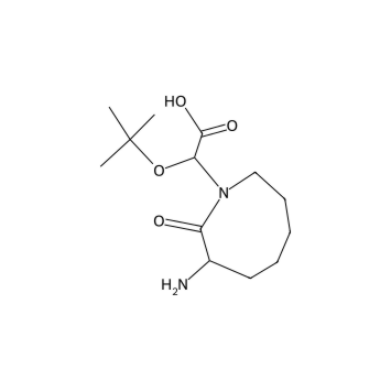 CC(C)(C)OC(C(=O)O)N1CCCCCC(N)C1=O